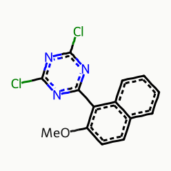 COc1ccc2ccccc2c1-c1nc(Cl)nc(Cl)n1